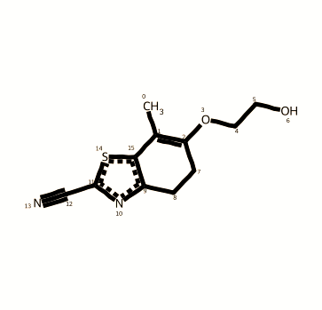 CC1=C(OCCO)CCc2nc(C#N)sc21